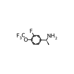 C[C@H](N)c1ccc(OC(F)(F)F)c(F)c1